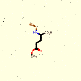 CSOC(=O)CCC(NSS)C(=O)O